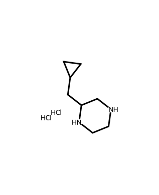 C1CNC(CC2CC2)CN1.Cl.Cl